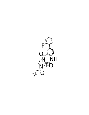 CC(C)(C)CC(=O)N1CCN2C(=O)c3cc(-c4ccccc4F)ccc3NC(=O)[C@@H]2C1